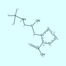 CC(C)(C)NCC(O)Cc1ccccc1C(=O)O